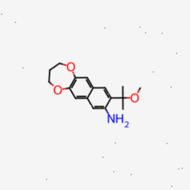 COC(C)(C)c1cc2cc3c(cc2cc1N)OCCCO3